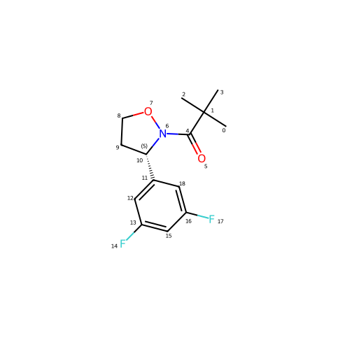 CC(C)(C)C(=O)N1OCC[C@H]1c1cc(F)cc(F)c1